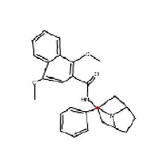 COc1cc(C(=O)NC2CC3CCC(C2)N3Cc2ccccc2)c(OC)c2ccccc12